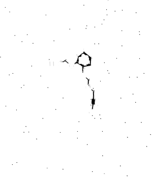 CCOc1ccccc1OCOCC#CI